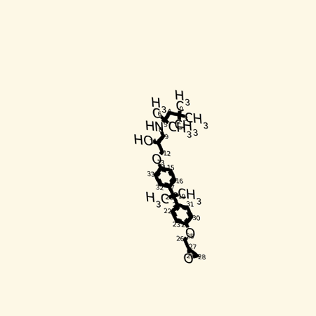 CC(C)(C)CC(C)(C)NCC(O)COc1ccc(C(C)(C)c2ccc(OCC3CO3)cc2)cc1